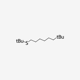 CC(C)(C)CCCCCCSC(C)(C)C